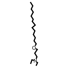 CCCCCCCCCCCCCCOCCCN(CC)CC